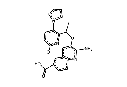 CC(Oc1cc2cc(C(=O)O)ccc2nc1N)c1nc(O)ccc1-n1cccn1